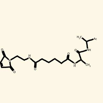 CC(=O)C(C)NC(=O)C(C)NC(=O)CCCCC(=O)NCCN1C(=O)C=CC1=O